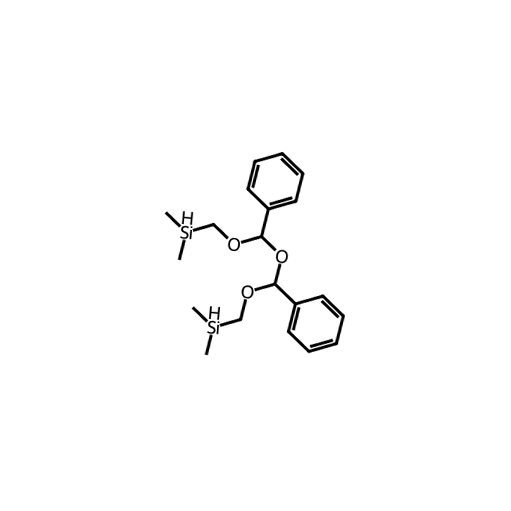 C[SiH](C)COC(OC(OC[SiH](C)C)c1ccccc1)c1ccccc1